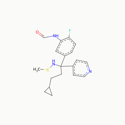 CSNC(CCC1CC1)(c1ccncc1)c1ccc(F)c(NC=O)c1